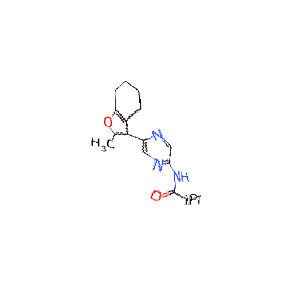 Cc1oc2c(c1-c1cnc(NC(=O)C(C)C)cn1)CCCC2